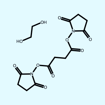 O=C(CCC(=O)ON1C(=O)CCC1=O)ON1C(=O)CCC1=O.OCCO